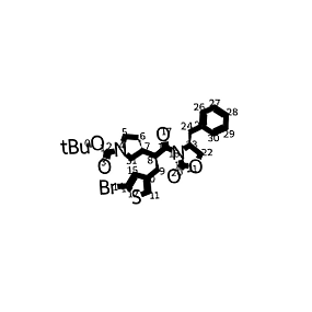 CC(C)(C)OC(=O)N1CC[C@H]([C@H](Cc2csc(Br)c2)C(=O)N2C(=O)OC[C@@H]2Cc2ccccc2)C1